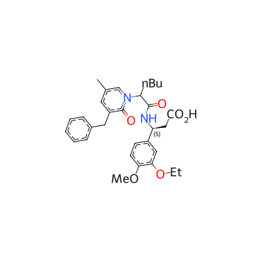 CCCCC(C(=O)N[C@@H](CC(=O)O)c1ccc(OC)c(OCC)c1)n1cc(C)cc(Cc2ccccc2)c1=O